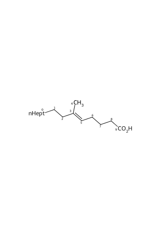 CCCCCCCCC/C(C)=C/CCCC(=O)O